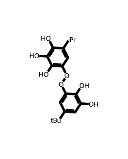 CC(C)c1cc(OOc2cc(C(C)(C)C)cc(O)c2O)c(O)c(O)c1O